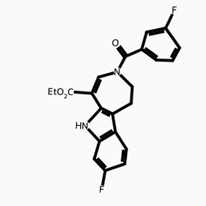 CCOC(=O)C1=CN(C(=O)c2cccc(F)c2)CCc2c1[nH]c1cc(F)ccc21